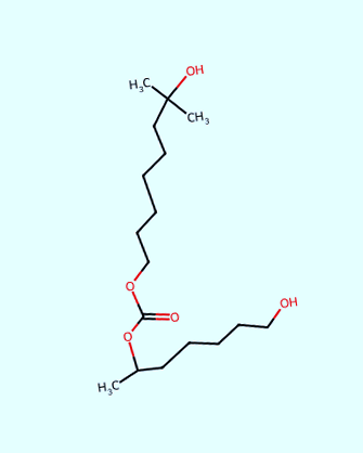 CC(CCCCCO)OC(=O)OCCCCCCC(C)(C)O